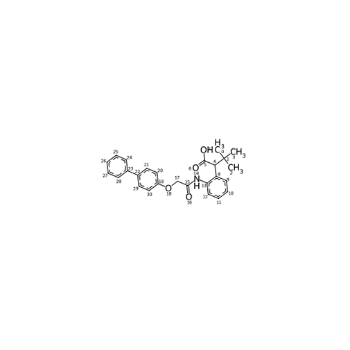 CC(C)(C)C(C(=O)O)c1ccccc1NC(=O)COc1ccc(-c2ccccc2)cc1